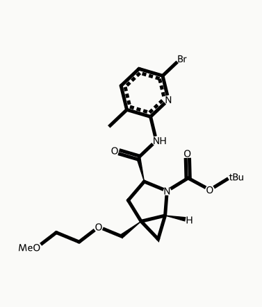 COCCOC[C@@]12C[C@@H](C(=O)Nc3nc(Br)ccc3C)N(C(=O)OC(C)(C)C)[C@@H]1C2